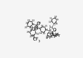 CC(C)N(C(=O)C(CCc1ccccc1)(C(=O)O)c1ccc(NC(=O)c2ccccc2-c2ccc(C(F)(F)F)cc2)cc1)C(C)C